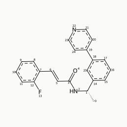 C[C@H](NC(=O)/C=C/c1ccccc1F)c1cccc(-c2ccncc2)c1